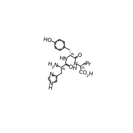 CC(C)[C@H](NC(=O)[C@@H](Cc1ccc(O)cc1)NC(=O)[C@H](N)Cc1c[nH]cn1)C(=O)O